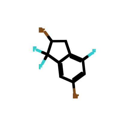 Fc1cc(Br)cc2c1CC(Br)C2(F)F